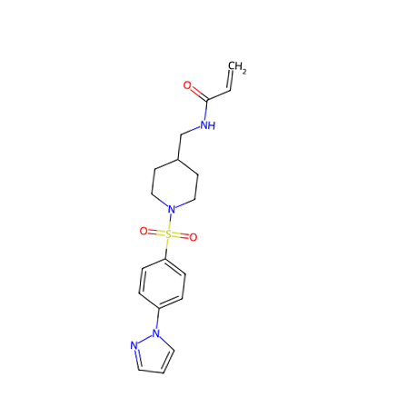 C=CC(=O)NCC1CCN(S(=O)(=O)c2ccc(-n3cccn3)cc2)CC1